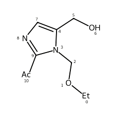 CCOCn1c(CO)cnc1C(C)=O